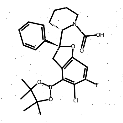 CC1(C)OB(c2c(Cl)c(F)cc3c2C[C@](c2ccccc2)([C@@H]2CCCCN2C(=O)O)O3)OC1(C)C